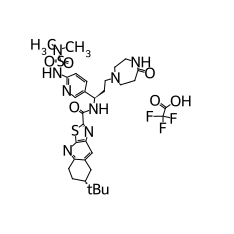 CN(C)S(=O)(=O)Nc1ccc([C@@H](CCN2CCNC(=O)CC2)NC(=O)c2nc3cc4c(nc3s2)CC[C@H](C(C)(C)C)C4)cn1.O=C(O)C(F)(F)F